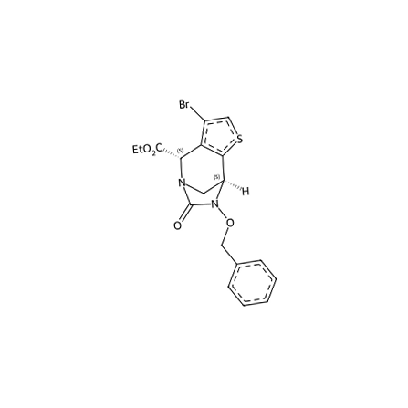 CCOC(=O)[C@@H]1c2c(Br)csc2[C@@H]2CN1C(=O)N2OCc1ccccc1